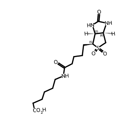 O=C(O)CCCCCNC(=O)CCCC[C@H]1[C@H]2NC(=O)N[C@H]2CS1(=O)=O